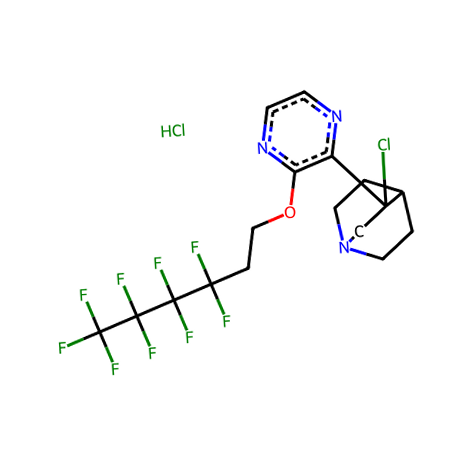 Cl.FC(F)(F)C(F)(F)C(F)(F)C(F)(F)CCOc1nccnc1C1(Cl)CN2CCC1CC2